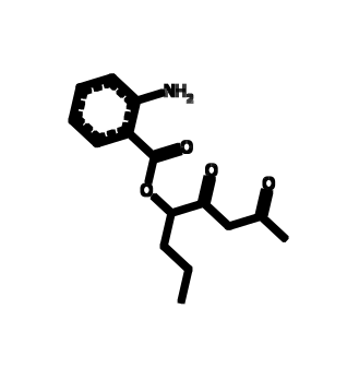 CCCC(OC(=O)c1ccccc1N)C(=O)CC(C)=O